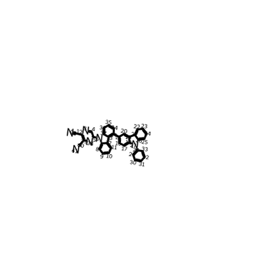 N#Cc1ncc(-n2c3ccccc3c3c(-c4ccc5c(c4)c4ccccc4n5-c4ccccc4)cccc32)nc1C#N